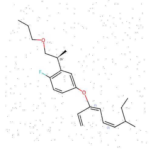 C=C/C(=C\C=C/C(C)CC)Oc1ccc(F)c([C@H](C)COCCC)c1